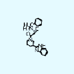 Cc1ccccc1C[C@@H](N)CC(=O)N1CCCC(c2nc3ccccc3[nH]2)C1